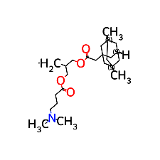 [CH2]C(COC(=O)CCCN(C)C)COC(=O)CC12C[C@@H]3C[C@@](C)(C1)C[C@](C)(C3)C2